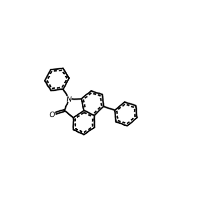 O=C1c2cccc3c(-c4ccccc4)ccc(c23)N1c1ccccc1